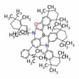 C=C/C(=C\C1=C(C)C(C)(C)CCC1(C)C)N1c2cc(-c3ccccc3[Si](C)(C)C)cc3c2B(c2cc4c(cc2N3c2ccc3c(c2)C(C)(C)CCC3(C)C)C(C)(C)CCC4(C)C)c2c1oc1cc3c(cc21)C(C)(C)CCC3(C)C